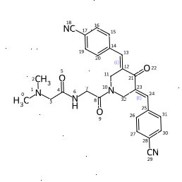 CN(C)CC(=O)NCC(=O)N1C/C(=C\c2ccc(C#N)cc2)C(=O)/C(=C/c2ccc(C#N)cc2)C1